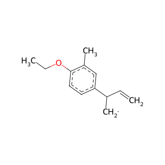 [CH2]C(C=C)c1ccc(OCC)c(C)c1